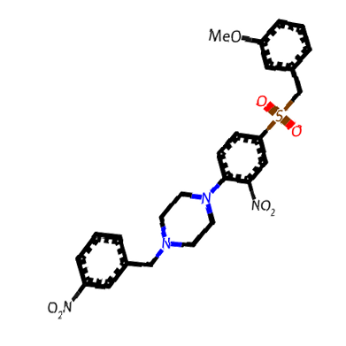 COc1cccc(CS(=O)(=O)c2ccc(N3CCN(Cc4cccc([N+](=O)[O-])c4)CC3)c([N+](=O)[O-])c2)c1